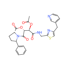 CC(=O)O[C@@H](C(=O)NCc1nc(Cc2cccnc2)cs1)[C@@H](OC(C)=O)C(=O)N1CCCC1c1ccccc1